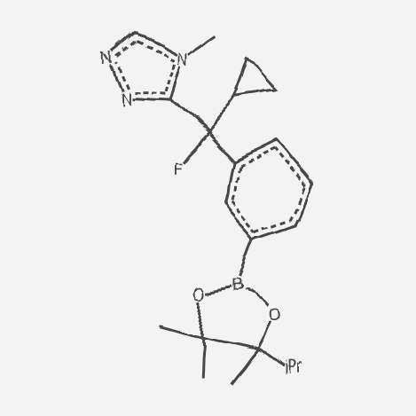 CC(C)C1(C)OB(c2cccc(C(F)(c3nncn3C)C3CC3)c2)OC1(C)C